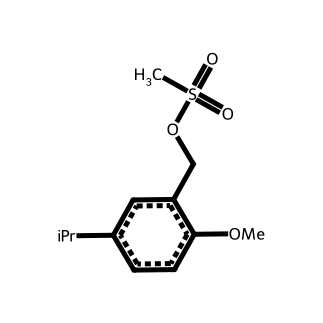 COc1ccc(C(C)C)cc1COS(C)(=O)=O